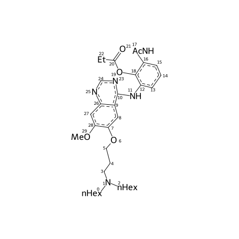 CCCCCCN(CCCCCC)CCCOc1cc2c(Nc3cccc(NC(C)=O)c3OC(=O)CC)ncnc2cc1OC